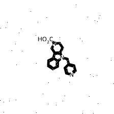 O=C(O)N1CCc2c(c3ccccc3n2Cc2ccncc2)C1